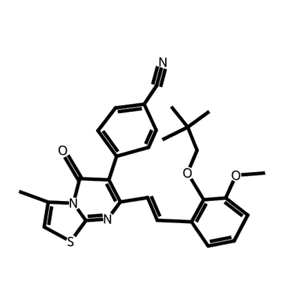 COc1cccc(/C=C/c2nc3scc(C)n3c(=O)c2-c2ccc(C#N)cc2)c1OCC(C)(C)C